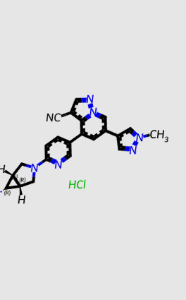 Cl.Cn1cc(-c2cc(-c3ccc(N4C[C@@H]5[C@H](N)[C@@H]5C4)nc3)c3c(C#N)cnn3c2)cn1